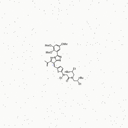 C=C(C)c1nn2c(-c3cc(OC)cc(OC)c3OC)nnc2/c1=C\c1ccc(N(CC)CC(=O)N(CC(CC)CCCC)CC(CC)CCCC)s1